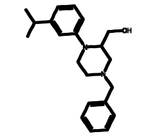 CC(C)c1cccc(N2CCN(Cc3ccccc3)CC2CO)c1